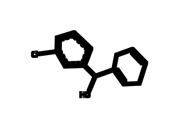 OC(C1=CCC=CC1)c1cccc(Cl)c1